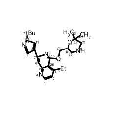 CCc1ccnc2cc(-c3cnn(C(C)(C)C)c3)nc(OC[C@@H]3CNCC(C)(C)O3)c12